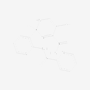 NC(=O)C1=NC(O)(c2ccccc2NC(=O)c2ccccn2)NC=C1O